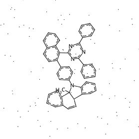 CC12c3ccccc3C=CC1c1ccccc1N2c1ccc(-c2ccc3ccccc3c2-c2nc(-c3ccccc3)nc(-c3ccccc3)n2)cc1